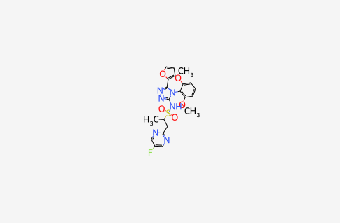 COc1cccc(OC)c1-n1c(NS(=O)(=O)C(C)Cc2ncc(F)cn2)nnc1-c1ccco1